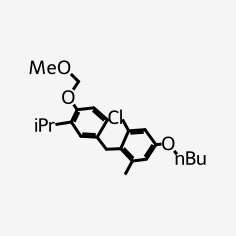 CCCCOc1cc(C)c(Cc2ccc(OCOC)c(C(C)C)c2)c(Cl)c1